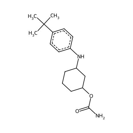 CC(C)(C)c1ccc(NC2CCCC(OC(N)=O)C2)cc1